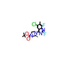 Cc1c(Cl)cc2c(N3CCN(C(=O)OC(C)(C)C)C[C@@H]3C)nc(F)nc2c1F